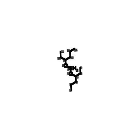 CCCC(CC)O[SiH2]OC(CC)CCC